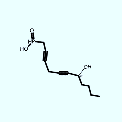 CCCC[C@@H](O)C#CCC#CC[PH](=O)O